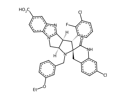 CCOc1cccc(CN2[C@H]3Cn4c(nc5cc(C(=O)O)ccc54)[C@H]3[C@H](c3cccc(Cl)c3F)[C@@]23Cc2ccc(Cl)cc2NC3=O)c1